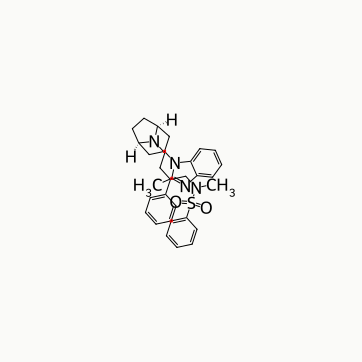 Cc1nc2ccccc2n1C1C[C@H]2CC[C@@H](C1)N2CCC(CN(C)S(=O)(=O)c1ccccc1)c1ccccc1